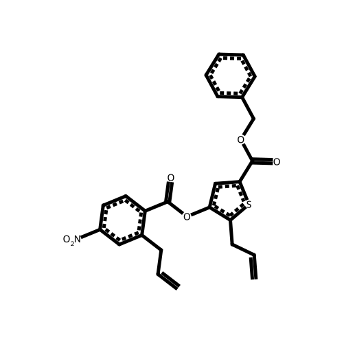 C=CCc1cc([N+](=O)[O-])ccc1C(=O)Oc1cc(C(=O)OCc2ccccc2)sc1CC=C